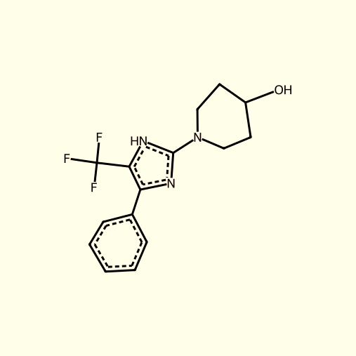 OC1CCN(c2nc(-c3ccccc3)c(C(F)(F)F)[nH]2)CC1